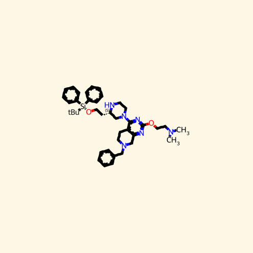 CN(C)CCOc1nc2c(c(N3CCN[C@@H](CCO[Si](c4ccccc4)(c4ccccc4)C(C)(C)C)C3)n1)CCN(Cc1ccccc1)C2